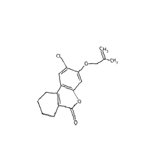 C=C(C)COc1cc2oc(=O)c3c(c2cc1Cl)CCCC3